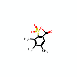 Cc1cc2c(c(C)c1C)S(=O)(=O)OC2=O